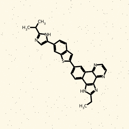 CCc1nc2c3nccnc3c3cc(-c4cc5ccc(-c6cnc(C(C)C)[nH]6)cc5s4)ccc3c2[nH]1